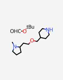 CC(C)(C)OC=O.CN1CCCC1CCOCC1CCNCC1